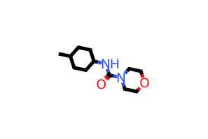 CC1CCC(NC(=O)N2CCOCC2)CC1